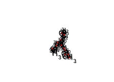 CC1(C)c2ccccc2-c2ccc(-c3ccc(N(c4ccc(-c5ccc6c(c5)oc5ccccc56)cc4)c4cccc(-c5ccc6ccccc6c5)c4)cc3)cc21